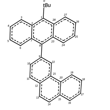 CC(C)(C)c1c2ccccc2c(-c2ccc3ccc4ccccc4c3c2)c2ccccc12